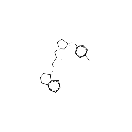 O[C@H](CO[C@@H]1CCCc2ccccc21)CN1CC[C@@H](Oc2ccc(F)cc2)C1